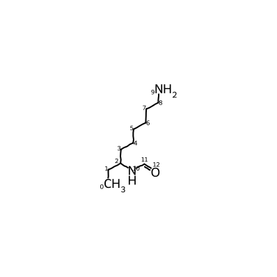 CCC(CCCCCCN)NC=O